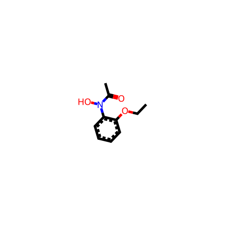 CCOc1ccccc1N(O)C(C)=O